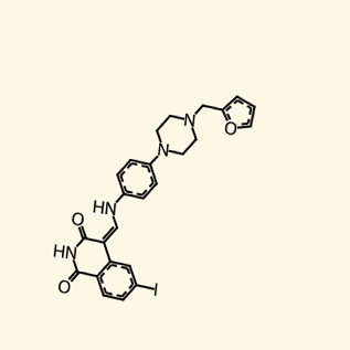 O=C1NC(=O)c2ccc(I)cc2C1=CNc1ccc(N2CCN(Cc3ccco3)CC2)cc1